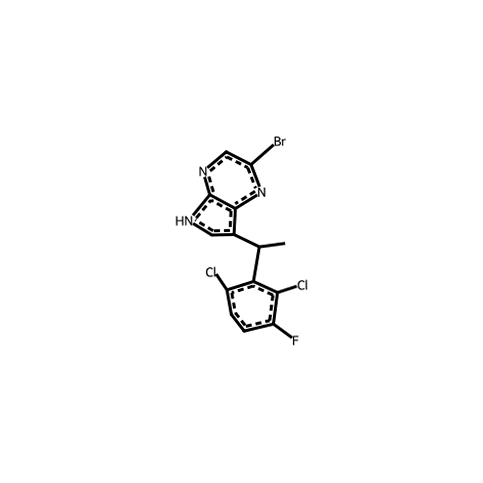 CC(c1c(Cl)ccc(F)c1Cl)c1c[nH]c2ncc(Br)nc12